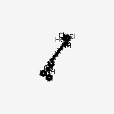 O=C(Nc1ccccc1-c1ccccc1)OC1CCN(CCCCCCCCCNCC(=O)c2cc(Cl)cc(Cl)c2O)CC1